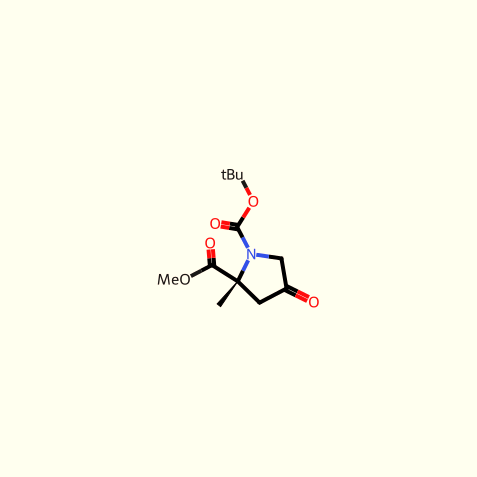 COC(=O)[C@@]1(C)CC(=O)CN1C(=O)OC(C)(C)C